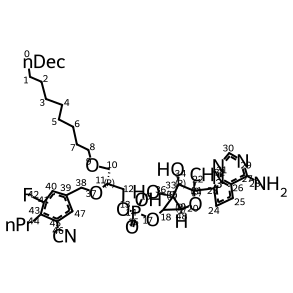 CCCCCCCCCCCCCCCCCCOC[C@H](COP(=O)(O)OC1[C@H]2O[C@@](C)(c3ccc4c(N)ncnn34)[C@H](O)[C@@]12O)OCc1cc(F)c(CCC)c(C#N)c1